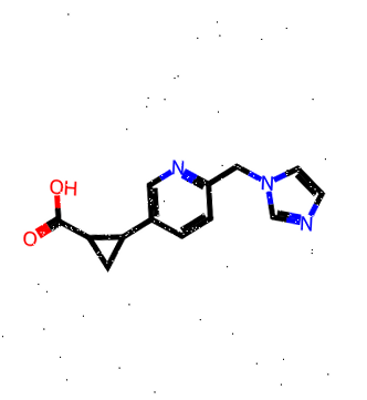 O=C(O)C1CC1c1ccc(Cn2ccnc2)nc1